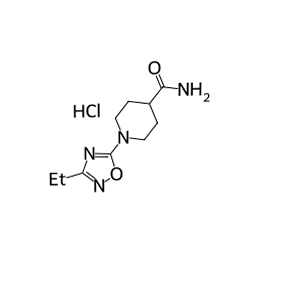 CCc1noc(N2CCC(C(N)=O)CC2)n1.Cl